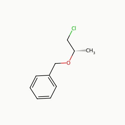 C[C@@H](CCl)OCc1ccccc1